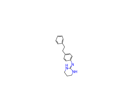 c1ccc(CCc2ccc(N=C3NCCCN3)cc2)cc1